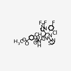 COC(=O)c1ccc(C)c(S(=O)(=O)N[C@H]2CC3=C(c4ccn(C(F)F)n4)[C@H](c4ccc(F)cc4Cl)N=C(c4nccs4)N3C2)c1